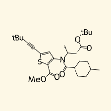 COC(=O)c1sc(C#CC(C)(C)C)cc1N(C(=O)C1CCC(C)CC1)C(C)CC(=O)OC(C)(C)C